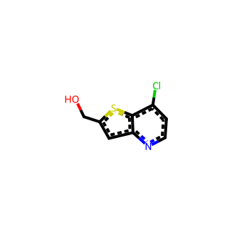 OCc1cc2nccc(Cl)c2s1